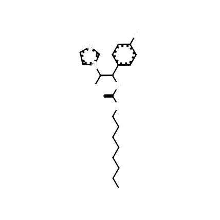 CCCCCCCCOC(=O)OC(c1ccc(Cl)cc1)C(Cl)n1ccnc1